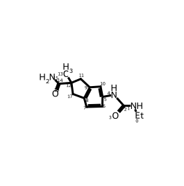 CCNC(=O)Nc1ccc2c(c1)CC(C)(C(N)=O)C2